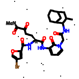 CNC(=O)C(=O)CC[C@H](NC(=O)c1cc(Br)co1)C(=O)Nc1cccn(CC(=O)NC2C(C)CC3CCCC2C3)c1=O